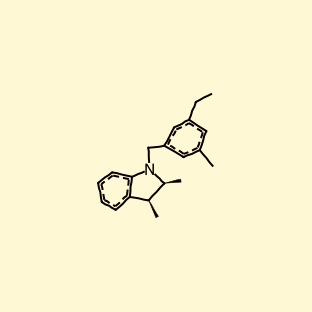 CCc1cc(C)cc(CN2c3ccccc3[C@H](C)[C@@H]2C)c1